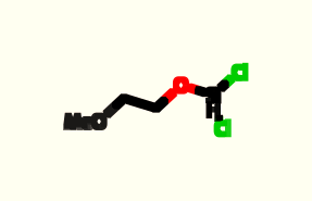 COCCO[SiH](Cl)Cl